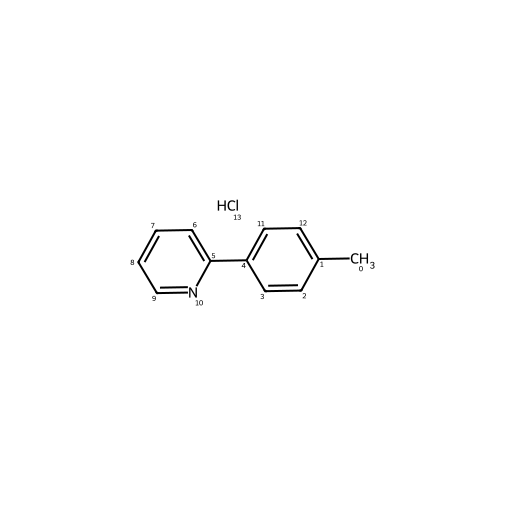 Cc1ccc(-c2ccccn2)cc1.Cl